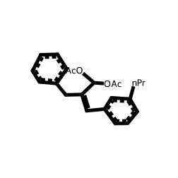 CCCc1cccc(C=C(Cc2ccccc2)C(OC(C)=O)OC(C)=O)c1